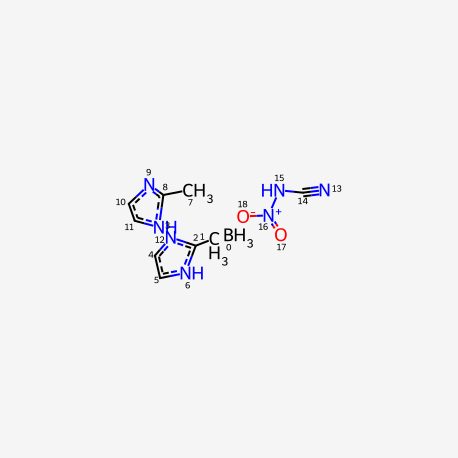 B.Cc1ncc[nH]1.Cc1ncc[nH]1.N#CN[N+](=O)[O-]